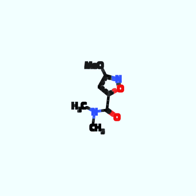 COc1cc(C(=O)N(C)C)on1